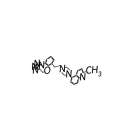 Cc1ccc2c(N3CCN(CCc4cccc5c4OCc4nnnn4-5)CC3)cccc2n1